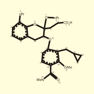 CCCOC1(CCC(=O)O)Oc2c(CCC)cccc2CC1Oc1ccc(C(=O)NC)c(OC)c1CC1CC1